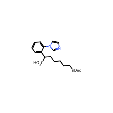 CCCCCCCCCCCCCCCC(C(=O)O)c1ccccc1-n1ccnc1